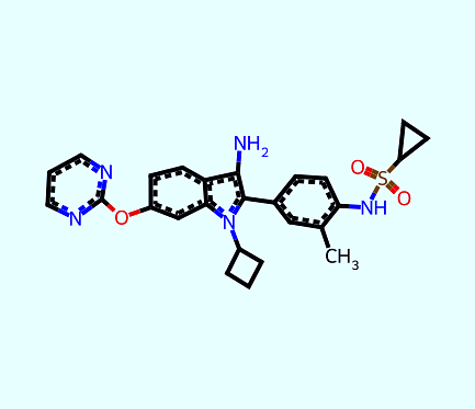 Cc1cc(-c2c(N)c3ccc(Oc4ncccn4)cc3n2C2CCC2)ccc1NS(=O)(=O)C1CC1